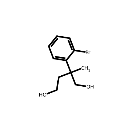 CC(CO)(CCO)c1ccccc1Br